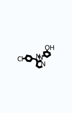 Oc1cccc(-n2nc(-c3ccc(Cl)cc3)c3cccnc32)c1